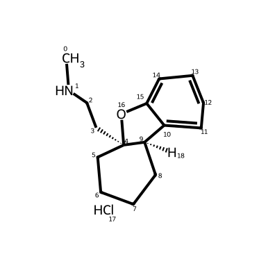 CNCC[C@@]12CCCC[C@@H]1c1ccccc1O2.Cl